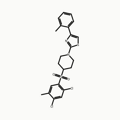 Cc1cc(S(=O)(=O)C2CCN(c3nc(-c4ccccc4C)cs3)CC2)c(Cl)cc1Cl